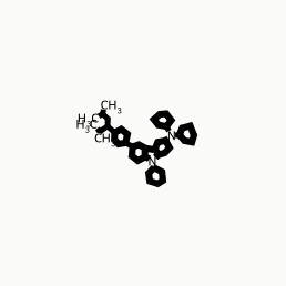 CC(C)CC(c1ccc(-c2ccc3c(c2)c2cc(N(c4ccccc4)c4ccccc4)ccc2n3-c2ccccc2)cc1)C(C)C